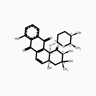 C[C@H]1O[C@H](O[C@]23C(=O)[C@@H](O)[C@](C)(O)C[C@@]2(O)C=CC2=C3C(=O)c3cccc(O)c3C2=O)CC[C@H]1O